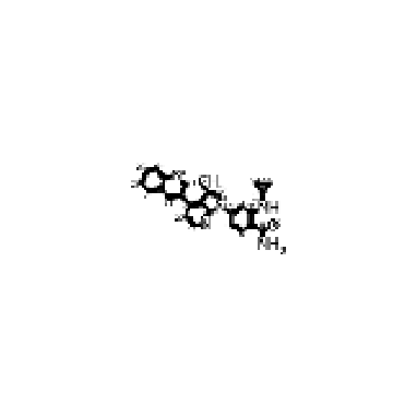 Cc1cn(-c2ccc(C(N)=O)c(NC3CC3)c2)c2nccc(-c3cnc4ccccc4c3)c12